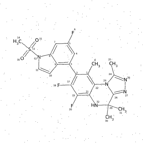 Cc1c(-c2cc(F)cc3c2ccn3S(C)(=O)=O)c(F)c(F)c2c1-n1c(C)nnc1C(C)(C)N2